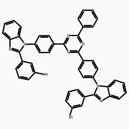 CC(C)c1cccc(-c2nc3ccccc3n2-c2ccc(-c3nc(-c4ccccc4)nc(-c4ccc(-n5c(-c6cccc(C(C)C)c6)nc6ccccc65)cc4)n3)cc2)c1